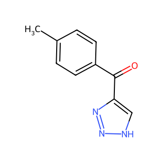 Cc1ccc(C(=O)c2c[nH]nn2)cc1